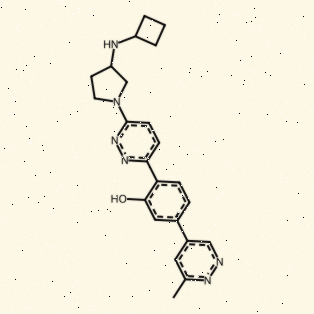 Cc1cc(-c2ccc(-c3ccc(N4CCC(NC5CCC5)C4)nn3)c(O)c2)cnn1